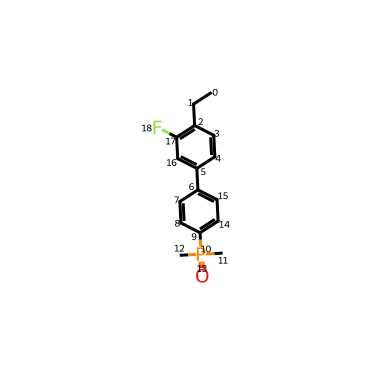 CCc1ccc(-c2ccc(P(C)(C)=O)cc2)cc1F